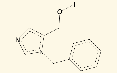 IOCc1cncn1Cc1ccccc1